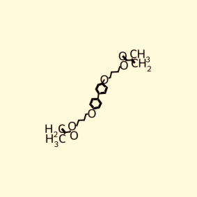 C=C(C)C(=O)OCCCCOc1ccc(-c2ccc(OCCCCOC(=O)C(=C)C)cc2)cc1